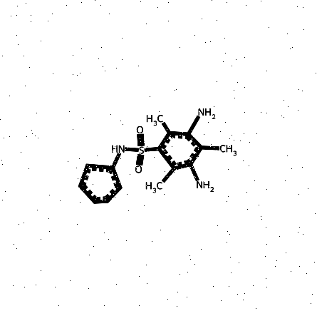 Cc1c(N)c(C)c(S(=O)(=O)Nc2ccccc2)c(C)c1N